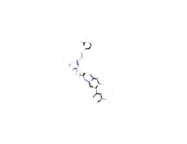 C=C(/C=c1/cc(-c2cncc(N)c2C)c(F)c(F)/c1=C/C)NC(/C=C(\C)CCn1ccnc1CC)=N/C